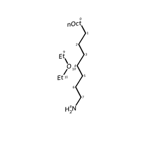 CCCCCCCCCCCCCCCN.CCOCC